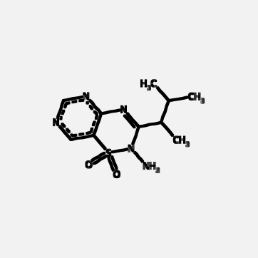 CC(C)C(C)C1=Nc2ncncc2S(=O)(=O)N1N